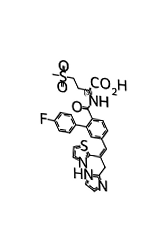 CS(=O)(=O)CC[C@H](NC(=O)c1ccc(C=C(Cc2ncc[nH]2)c2nccs2)cc1-c1ccc(F)cc1)C(=O)O